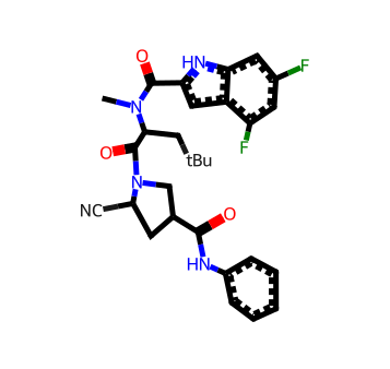 CN(C(=O)c1cc2c(F)cc(F)cc2[nH]1)C(CC(C)(C)C)C(=O)N1CC(C(=O)Nc2ccccc2)CC1C#N